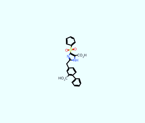 O=C(O)c1cc(Cc2nc(S(=O)(=O)c3ccccc3)c(C(=O)O)[nH]2)ccc1-c1ccccc1